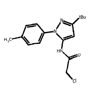 Cc1ccc(-n2nc(C(C)(C)C)cc2NC(=O)CCl)cc1